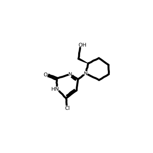 O=c1nc(N2CCCC[C@@H]2CO)cc(Cl)[nH]1